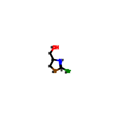 OCC1CSC(Br)=N1